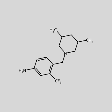 CC1CC(C)CN(Cc2ccc(N)cc2C(F)(F)F)C1